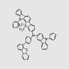 CC1(C)c2cc(N(c3ccc(-c4cccc5c4SC4C=CC=CC54)cc3)c3ccc4c(c3)c3ccccc3n4-c3ccccc3)ccc2-c2ccc3c4ccccc4n(-c4ccccc4)c3c21